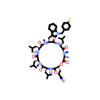 CC(C)C[C@@H]1NC(=O)[C@H](Cc2cn(Cc3ccc(F)cc3)c3ccccc23)N(C)C(=O)[C@H](CC(C)C)NC(=O)[C@H](CC(C)C)N(C)C(=O)[C@H](CC(C)C)NC(=O)[C@@H](CCC#N)OC(=O)[C@H](C)N(C)C1=O